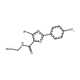 COCNC(=O)c1sc(-c2ccc(C(F)(F)F)cc2)nc1C(C)C